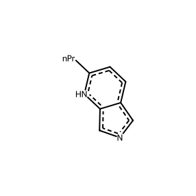 CCCc1ccc2cncc-2[nH]1